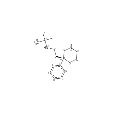 CC(C)(NCC[C@]1(c2ccccc2)CCCNC1)C(F)(F)F